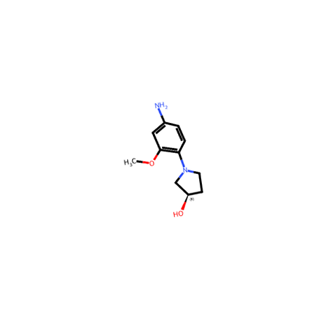 COc1cc(N)ccc1N1CC[C@@H](O)C1